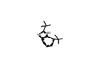 CC(C)(C)c1nc2cccc(C(C)(C)C)c2[nH]1